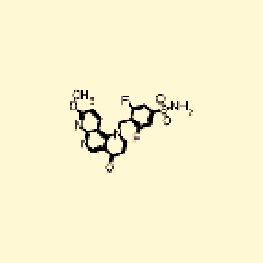 COc1ccc2c3c(cnc2n1)C(=O)CCN3Cc1c(F)cc(S(N)(=O)=O)cc1F